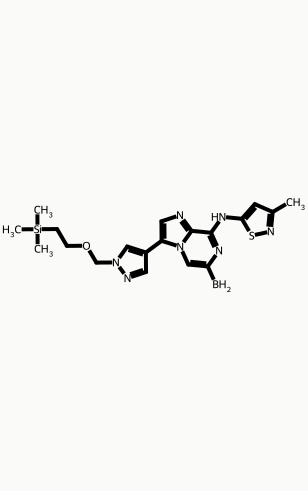 Bc1cn2c(-c3cnn(COCC[Si](C)(C)C)c3)cnc2c(Nc2cc(C)ns2)n1